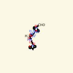 CC(NC(CCCCN/C1=C(\N)c2ccccc2N(C(=O)CCC=O)Cc2ccccc21)C(N)=O)C(=O)CNCC(=O)CCC(=O)N1Cc2ccccc2C2=C(C2)c2ccccc21